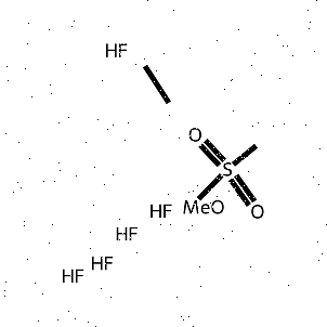 CC.COS(C)(=O)=O.F.F.F.F.F